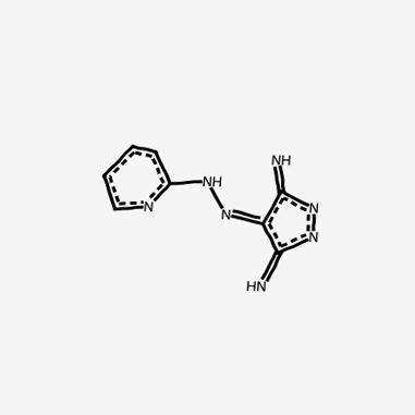 N=c1nnc(=N)c1=NNc1ccccn1